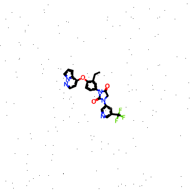 CCc1cc(N2C(=O)CN(c3cncc(C(F)(F)F)c3)C2=O)ccc1Oc1ccnn2cccc12